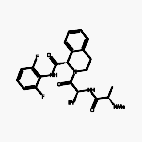 CN[C@@H](C)C(=O)N[C@H](C(=O)N1CCc2ccccc2[C@H]1C(=O)Nc1c(F)cccc1F)C(C)C